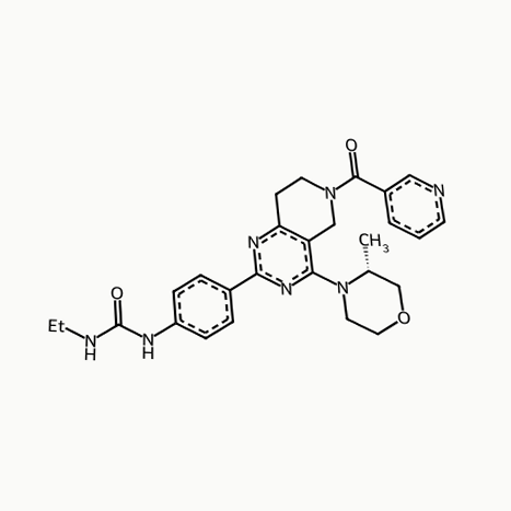 CCNC(=O)Nc1ccc(-c2nc3c(c(N4CCOC[C@H]4C)n2)CN(C(=O)c2cccnc2)CC3)cc1